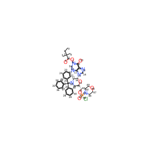 CCC(C)(C)C(=O)On1cnc2c(ncn2[C@H]2CN(C(c3ccccc3)(c3ccccc3)c3ccccc3)C[C@@H](COP(=O)(Cl)N3CCOCC3)O2)c1=O